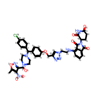 Cc1onc(C(=O)N2CCN(C(c3ccc(Cl)cc3)c3ccc(OCc4cn(CCNc5cccc6c5C(=O)N(C5CCC(=O)NC5=O)C6=O)nn4)cc3)CC2)c1[N+](=O)[O-]